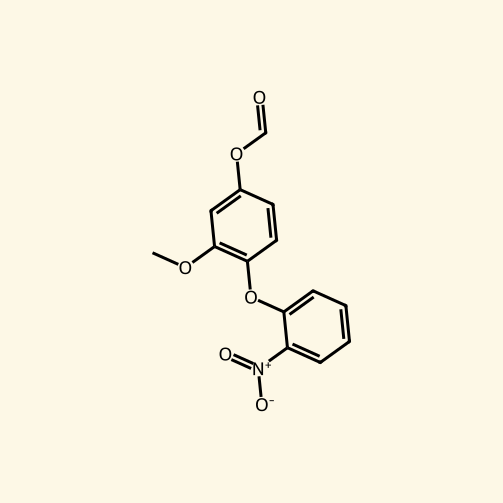 COc1cc(OC=O)ccc1Oc1ccccc1[N+](=O)[O-]